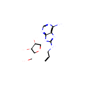 C=CCNc1nc2c(N)ncnc2n1[C@@H]1O[C@H](CO)[C@@H](O)[C@H]1O